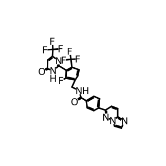 O=C(NCc1ccc(C(F)(F)F)c(-c2nc(C(F)(F)F)cc(=O)[nH]2)c1F)c1ccc(-c2ccc3nccn3n2)cc1